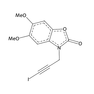 COc1cc2oc(=O)n(CC#CI)c2cc1OC